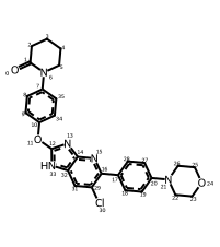 O=C1CCCCN1c1ccc(Oc2nc3nc(-c4ccc(N5CCOCC5)cc4)c(Cl)cc3[nH]2)cc1